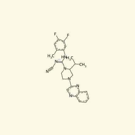 Cc1cc(F)c(F)cc1N/C(=N/C#N)N1CCN(c2cnc3ccccc3n2)CC1C(C)C